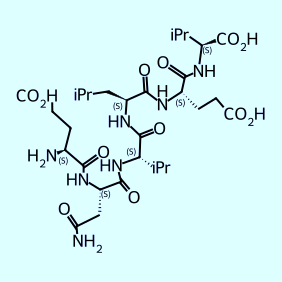 CC(C)C[C@H](NC(=O)[C@@H](NC(=O)[C@H](CC(N)=O)NC(=O)[C@@H](N)CCC(=O)O)C(C)C)C(=O)N[C@@H](CCC(=O)O)C(=O)N[C@H](C(=O)O)C(C)C